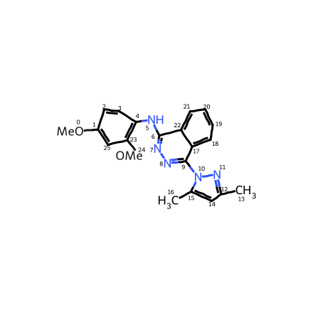 COc1ccc(Nc2nnc(-n3nc(C)cc3C)c3ccccc23)c(OC)c1